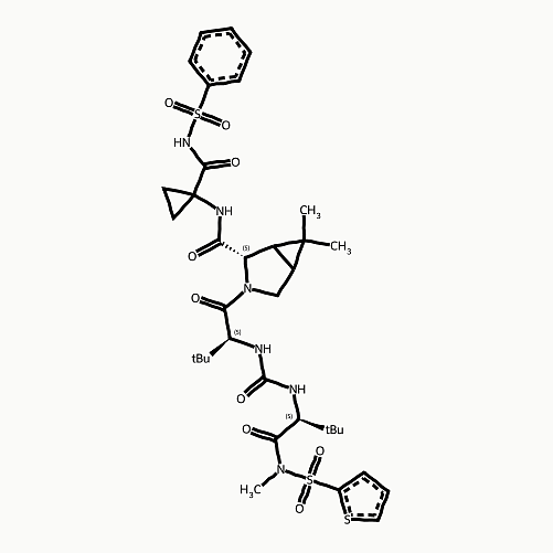 CN(C(=O)[C@@H](NC(=O)N[C@H](C(=O)N1CC2C([C@H]1C(=O)NC1(C(=O)NS(=O)(=O)c3ccccc3)CC1)C2(C)C)C(C)(C)C)C(C)(C)C)S(=O)(=O)c1cccs1